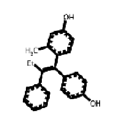 CC/C(=C(/c1ccc(O)cc1)c1ccc(O)cc1C)c1ccccc1